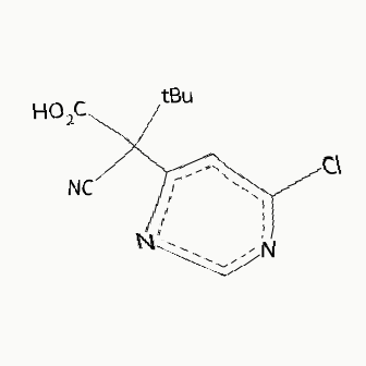 CC(C)(C)C(C#N)(C(=O)O)c1cc(Cl)ncn1